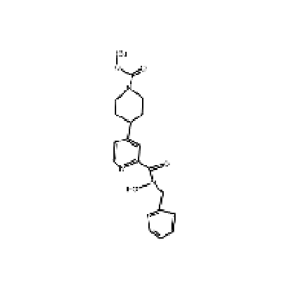 CC(C)(C)OC(=O)N1CCC(c2ccnc(C(=O)N(O)Cc3ccccc3)c2)CC1